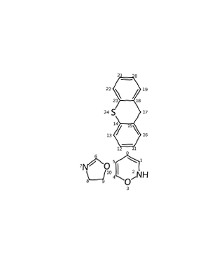 C1=CNOC=C1.C1=NCCO1.c1ccc2c(c1)Cc1ccccc1S2